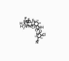 C[C@@]1(c2cc(NC(=O)Oc3ncc(C#N)cc3Cl)ccc2F)CO[C@@](C)(C(F)(F)F)C(N)=N1